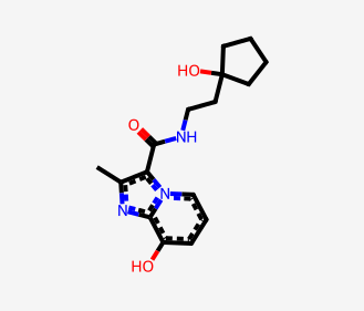 Cc1nc2c(O)cccn2c1C(=O)NCCC1(O)CCCC1